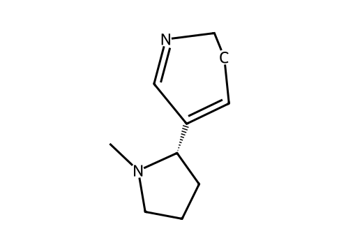 CN1CCC[C@H]1C1=CCCN=C1